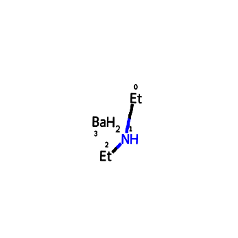 CCNCC.[BaH2]